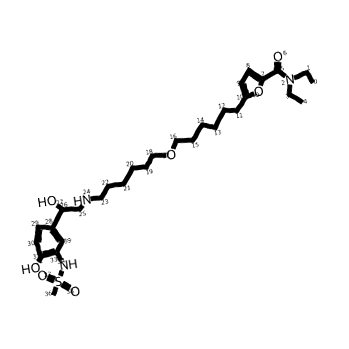 CCN(CC)C(=O)c1ccc(CCCCCCOCCCCCCNCC(O)c2ccc(O)c(NS(C)(=O)=O)c2)o1